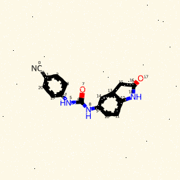 N#Cc1ccc(NC(=O)Nc2ccc3c(c2)CC(=O)N3)cc1